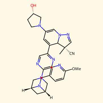 COc1ccc(CN2[C@@H]3C[C@H]2CN(c2cnc(C4=CC(N5CC[C@H](O)C5)=CN5N=C[C@](C)(C#N)C45)cn2)C3)cn1